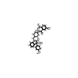 COc1ccc(C2(O)C(=O)N(CC3CCC(NC(=O)c4cc(Cl)cnc4C(F)F)CC3)c3ccccc32)cn1